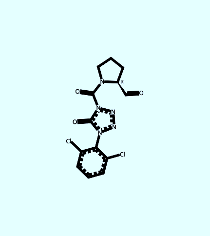 O=C[C@@H]1CCCN1C(=O)n1nnn(-c2c(Cl)cccc2Cl)c1=O